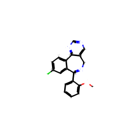 COc1ccccc1C1=NCc2cncnc2-c2ccc(Cl)cc21